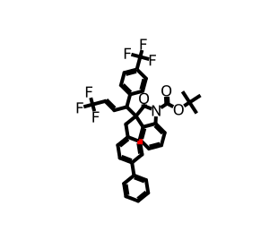 CC(C)(C)OC(=O)N1C(=O)C(Cc2ccc(-c3ccccc3)cc2)(C(/C=C/C(F)(F)F)c2ccc(C(F)(F)F)cc2)c2ccccc21